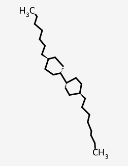 CCCCCCCC[C@H]1CC[C@H]([C@H]2CC[C@H](CCCCCCC)CC2)CC1